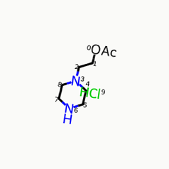 CC(=O)OCCN1CCNCC1.Cl